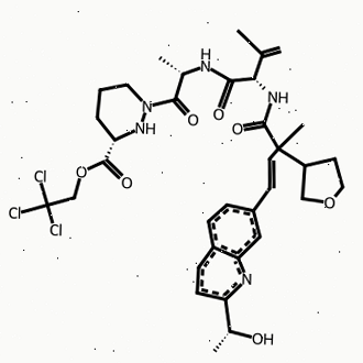 C=C(C)[C@H](NC(=O)C(C)(/C=C/c1ccc2ccc([C@@H](C)O)nc2c1)C1CCOC1)C(=O)N[C@@H](C)C(=O)N1CCC[C@@H](C(=O)OCC(Cl)(Cl)Cl)N1